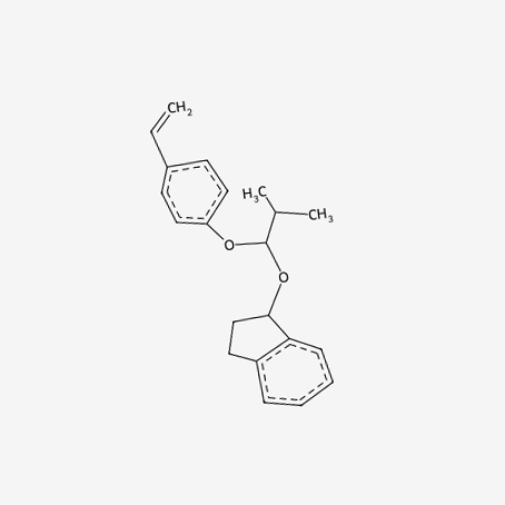 C=Cc1ccc(OC(OC2CCc3ccccc32)C(C)C)cc1